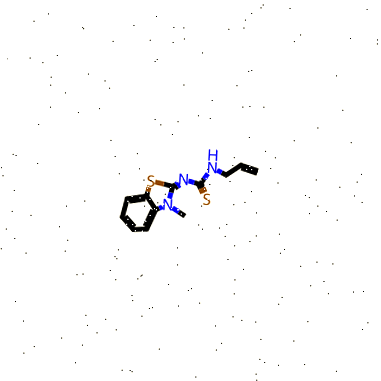 C=CCNC(=S)N=c1sc2ccccc2n1C